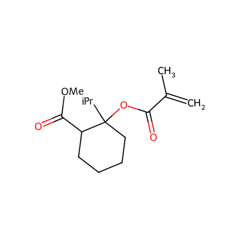 C=C(C)C(=O)OC1(C(C)C)CCCCC1C(=O)OC